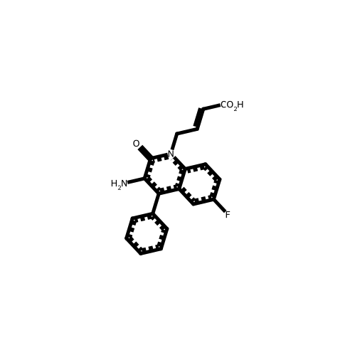 Nc1c(-c2ccccc2)c2cc(F)ccc2n(CC=CC(=O)O)c1=O